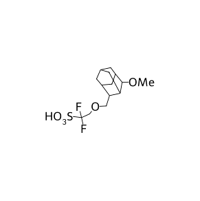 COC1C2CC3CC(C2)C(COCC(F)(F)S(=O)(=O)O)C1C3